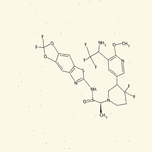 COc1ncc(C2CN([C@@H](C)C(=O)Nc3nc4cc5c(cc4s3)OC(F)(F)O5)CCC2(F)F)cc1C(N)C(F)(F)F